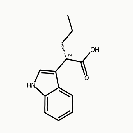 CCC[C@H](C(=O)O)c1c[nH]c2ccccc12